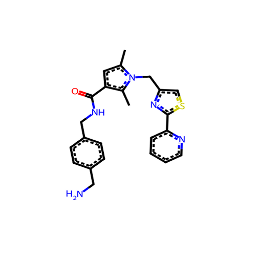 Cc1cc(C(=O)NCc2ccc(CN)cc2)c(C)n1Cc1csc(-c2ccccn2)n1